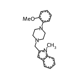 COc1ccccc1N1CCN(Cc2cc3ccccc3n2C)CC1